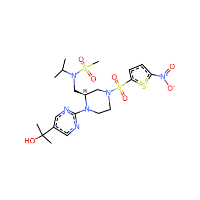 CC(C)N(C[C@H]1CN(S(=O)(=O)c2ccc([N+](=O)[O-])s2)CCN1c1ncc(C(C)(C)O)cn1)S(C)(=O)=O